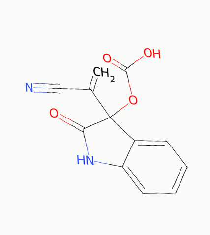 C=C(C#N)C1(OC(=O)O)C(=O)Nc2ccccc21